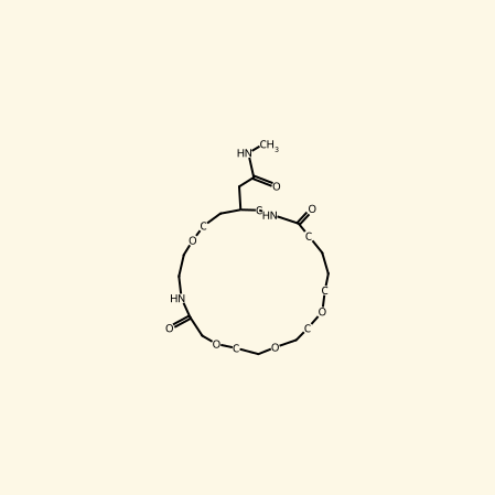 CNC(=O)CC1CCOCCNC(=O)COCCOCCOCCCCC(=O)NC1